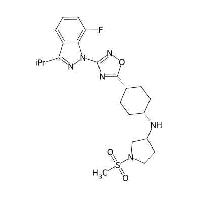 CC(C)c1nn(-c2noc([C@H]3CC[C@@H](NC4CCN(S(C)(=O)=O)C4)CC3)n2)c2c(F)cccc12